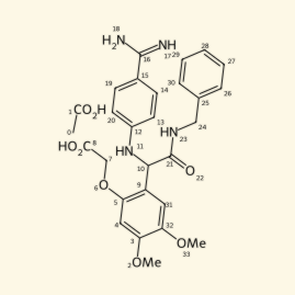 CC(=O)O.COc1cc(OCC(=O)O)c(C(Nc2ccc(C(=N)N)cc2)C(=O)NCc2ccccc2)cc1OC